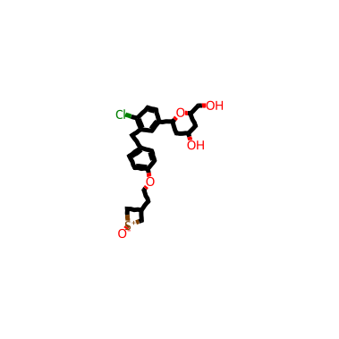 [O-][S+]1CC(CCOc2ccc(Cc3cc(C4CC(O)CC(CO)O4)ccc3Cl)cc2)C1